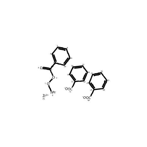 CCCOOC(=O)c1ccccc1.O=C([O-])c1ccccc1.O=C([O-])c1ccccc1.[Zr+2]